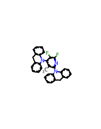 Fc1nc(N2c3ccccc3Cc3ccccc32)c(C(F)(F)F)c(N2c3ccccc3Cc3ccccc32)c1F